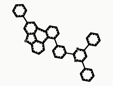 c1ccc(-c2cc3oc4cccc5c6c(-c7cccc(-c8nc(-c9ccccc9)cc(-c9ccccc9)n8)c7)cccc6c(c2)c3c45)cc1